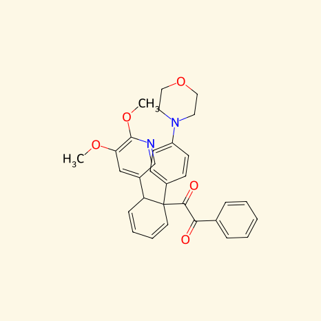 COc1cc(C2C=CC=CC2(C(=O)C(=O)c2ccccc2)c2ccc(N3CCOCC3)cc2)cnc1OC